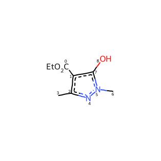 CCOC(=O)c1c(C)nn(C)c1O